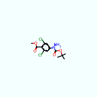 COC(=O)c1c(Cl)cc(N(N)C(=O)OC(C)(C)C)cc1Cl